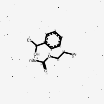 CCC(O)c1ccccc1.CCCCC(=O)OCCC(C)C